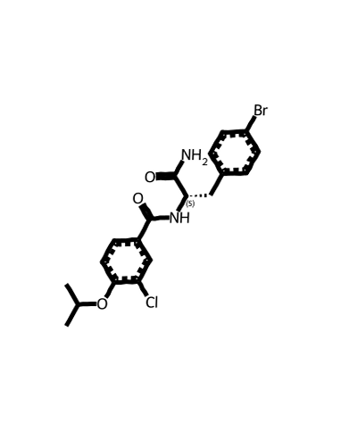 CC(C)Oc1ccc(C(=O)N[C@@H](Cc2ccc(Br)cc2)C(N)=O)cc1Cl